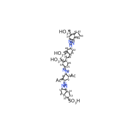 CC(=O)c1cc(-n2n3c4ccc5cc(S(=O)(=O)O)ccc5c4n23)c(C(C)=O)cc1N=Nc1ccc(C=Cc2ccc(-n3n4c5cc(S(=O)(=O)O)c6ccccc6c5n34)cc2S(=O)(=O)O)c(S(=O)(=O)O)c1